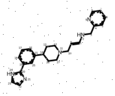 C(=C\NCc1ccccn1)/CN1CCC(c2cccc(-c3ncc[nH]3)c2)CC1